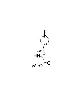 COC(=O)c1cc(C2=CCNCC2)c[nH]1